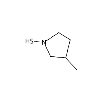 CC1CCN(S)C1